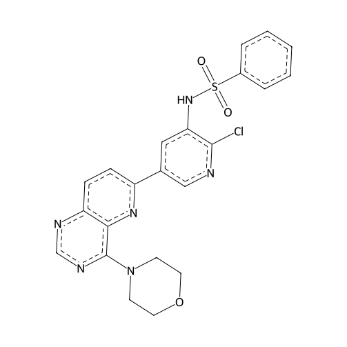 O=S(=O)(Nc1cc(-c2ccc3ncnc(N4CCOCC4)c3n2)cnc1Cl)c1ccccc1